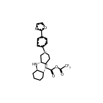 O=C(N[C@@H]1CCCC[C@H]1N[C@H]1CCCN(c2ccc(-c3ncco3)cc2)C1)OC(=O)C(F)(F)F